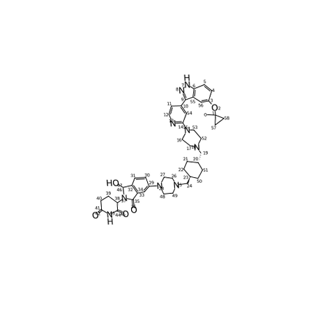 CC1(Oc2ccc3[nH]nc(-c4ccnc(N5CCN(C[C@H]6CC[C@H](CN7CCN(c8ccc9c(c8)C(=O)N(C8CCC(=O)NC8=O)C9O)CC7)CC6)CC5)c4)c3c2)CC1